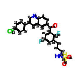 O=C(c1ccc2ncc(-c3ccc(Cl)cc3)cc2c1)c1cc(F)cc(CCCN[SH](=O)=O)c1F